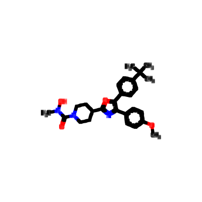 COc1ccc(-c2nc(C3CCN(C(=O)N(C)O)CC3)oc2-c2ccc(C(C)(C)C)cc2)cc1